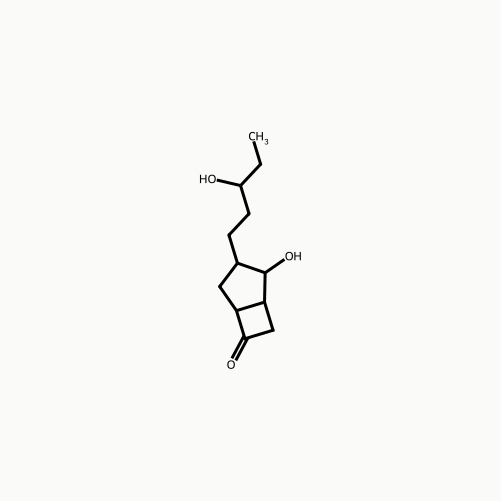 CCC(O)CCC1CC2C(=O)CC2C1O